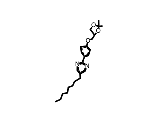 CCCCCCCCc1cnc(-c2ccc(OCC3COC(C)(C)O3)cc2)nc1